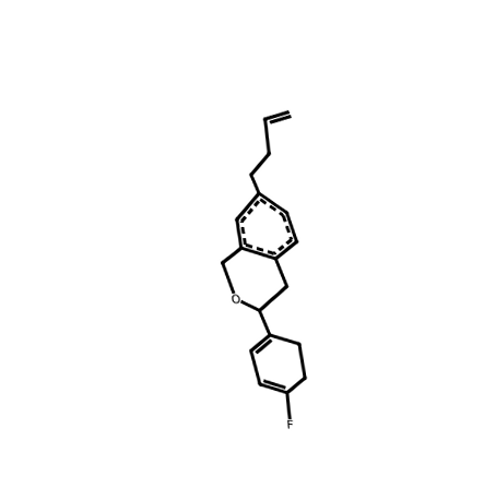 C=CCCc1ccc2c(c1)COC(C1=CC=C(F)CC1)C2